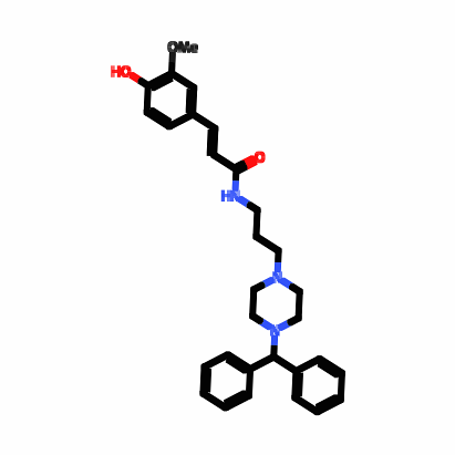 COc1cc(C=CC(=O)NCCCN2CCN(C(c3ccccc3)c3ccccc3)CC2)ccc1O